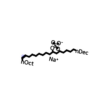 CCCCCCCC/C=C\CCCCCCCC(CCCCCCCCCCCCCCCC)OS(=O)(=O)[O-].[Na+]